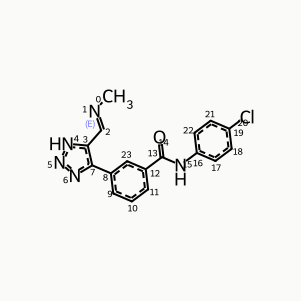 C/N=C/c1[nH]nnc1-c1cccc(C(=O)Nc2ccc(Cl)cc2)c1